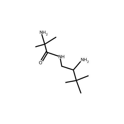 CC(C)(N)C(=O)NCC(N)C(C)(C)C